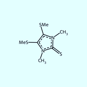 CSc1c(SC)n(C)c(=S)n1C